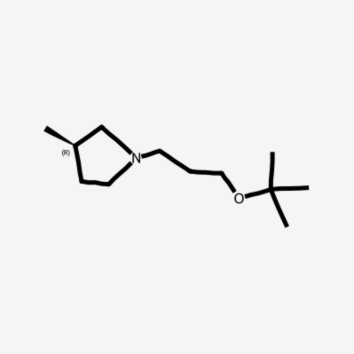 C[C@@H]1CCN(CCCOC(C)(C)C)C1